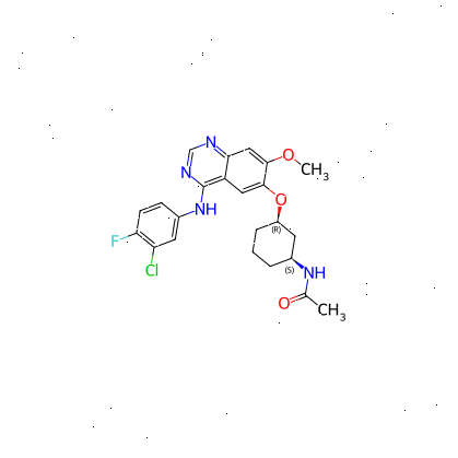 COc1cc2ncnc(Nc3ccc(F)c(Cl)c3)c2cc1O[C@@H]1CCC[C@H](NC(C)=O)C1